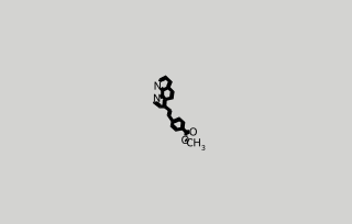 COC(=O)c1ccc(/C=C/c2ccnc3c2ccc2cccnc23)cc1